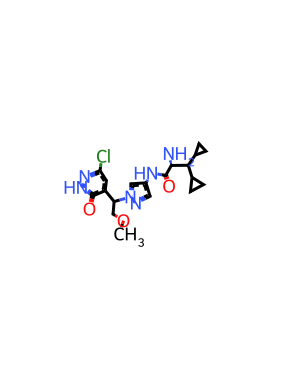 COCC(c1cc(Cl)n[nH]c1=O)n1cc(NC(=O)[C@@H](N)C(C2CC2)C2CC2)cn1